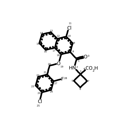 O=C(NC1(C(=O)O)CCC1)c1cc(Cl)c2ccccc2c1OCc1ccc(Cl)cc1F